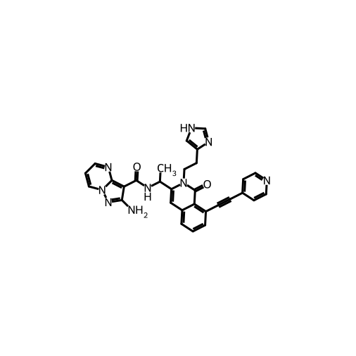 CC(NC(=O)c1c(N)nn2cccnc12)c1cc2cccc(C#Cc3ccncc3)c2c(=O)n1CCc1c[nH]cn1